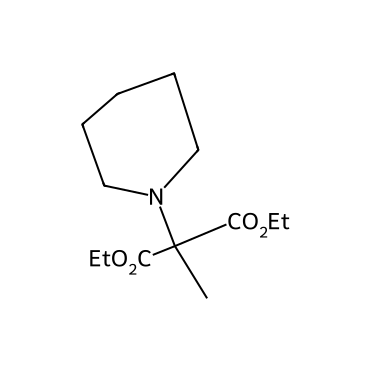 CCOC(=O)C(C)(C(=O)OCC)N1CCCCC1